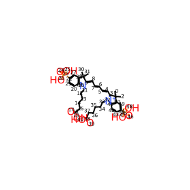 CC1(C)C(/C=C/C=C/C=C2\N(CCCCCC(=O)O)c3ccc(P(=O)(O)O)cc3C2(C)C)=[N+](CCCCCC(=O)O)c2ccc(P(=O)(O)O)cc21